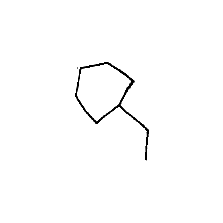 CCC1CC[CH]CC1